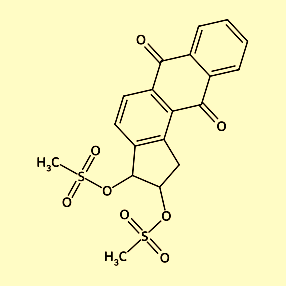 CS(=O)(=O)OC1Cc2c(ccc3c2C(=O)c2ccccc2C3=O)C1OS(C)(=O)=O